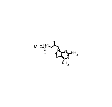 C=C(CO[PH](=O)OC)Cn1cnc2c(N)nc(N)nc21